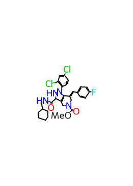 COC(=O)N1CC2=C(/C(=C/c3ccc(F)cc3)C1)N(c1ccc(Cl)cc1Cl)NC2C(=O)N[C@@H](C)C1CCCCC1